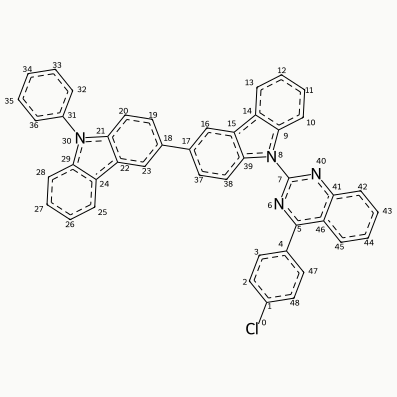 Clc1ccc(-c2nc(-n3c4ccccc4c4cc(-c5ccc6c(c5)c5ccccc5n6-c5ccccc5)ccc43)nc3ccccc23)cc1